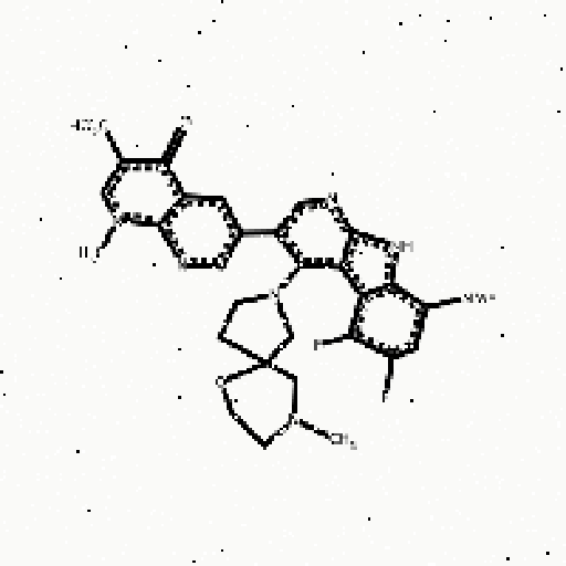 CNc1cc(F)c(F)c2c1[nH]c1ncc(-c3cnc4c(c3)c(=O)c(C(=O)O)cn4C)c(N3CCC4(CN(C)CCO4)C3)c12